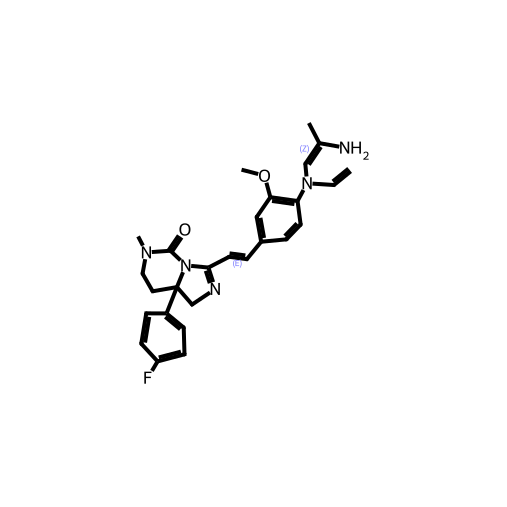 C=CN(/C=C(/C)N)c1ccc(/C=C/C2=NCC3(c4ccc(F)cc4)CCN(C)C(=O)N23)cc1OC